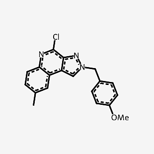 COc1ccc(Cn2cc3c(n2)c(Cl)nc2ccc(C)cc23)cc1